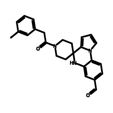 Cc1cccc(CC(=O)N2CCC3(CC2)Nc2cc(C=O)ccc2-n2cccc23)c1